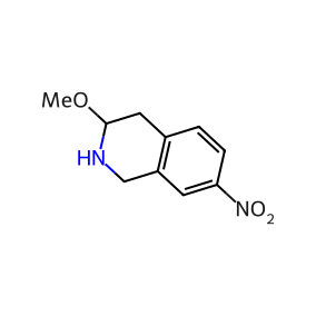 COC1Cc2ccc([N+](=O)[O-])cc2CN1